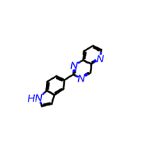 c1cnc2cnc(-c3ccc4[nH]ccc4c3)nc2c1